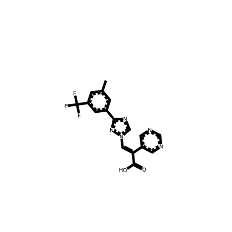 Cc1cc(-c2ncn(/C=C(/C(=O)O)c3cncnc3)n2)cc(C(F)(F)F)c1